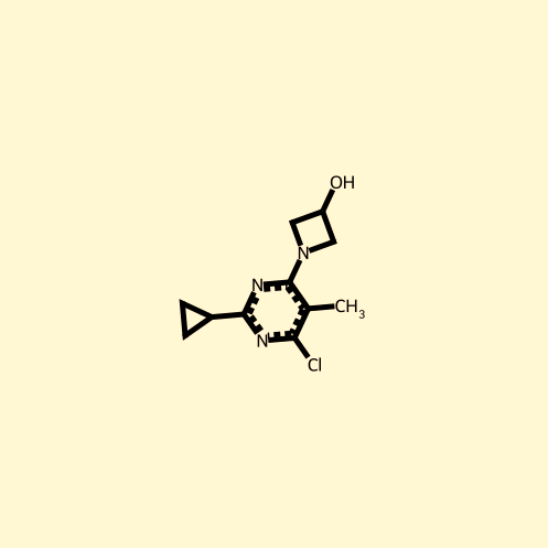 Cc1c(Cl)nc(C2CC2)nc1N1CC(O)C1